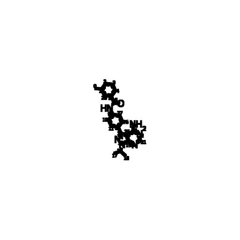 Cc1cccc(C(=O)Nc2ccc(-c3nn(C(C)C)c4ncnc(N)c34)cc2)c1